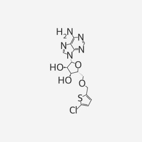 Nc1ncnc2c1ncn2[C@@H]1O[C@H](COCc2ccc(Cl)s2)[C@@H](O)[C@H]1O